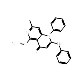 CC(=O)OSc1nc(C)cc2c1c(=O)cc(Nc1ccccc1)n2-c1ccccc1